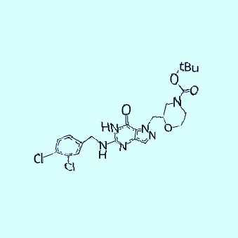 CC(C)(C)OC(=O)N1CCOC(Cn2ncc3nc(NCc4ccc(Cl)c(Cl)c4)[nH]c(=O)c32)C1